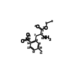 CCOC(=O)C(N)Cc1cc(C)ccc1[N+](=O)[O-]